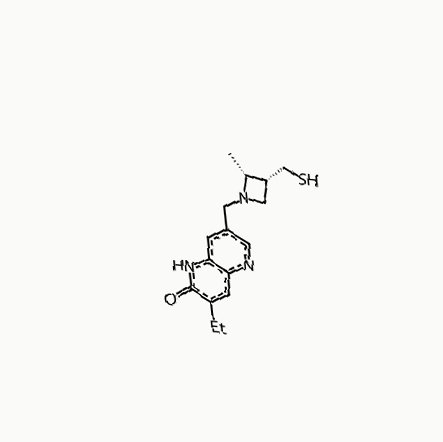 CCc1cc2ncc(CN3C[C@@H](CS)[C@H]3C)cc2[nH]c1=O